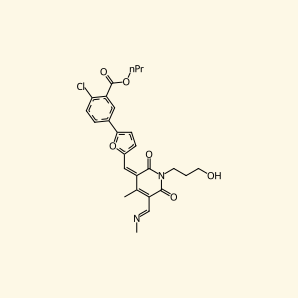 CCCOC(=O)c1cc(-c2ccc(/C=C3\C(=O)N(CCCO)C(=O)C(/C=N/C)=C3C)o2)ccc1Cl